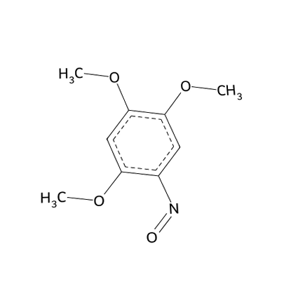 COc1cc(OC)c(OC)cc1N=O